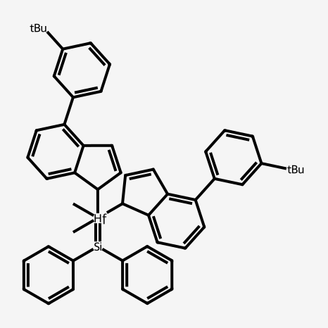 CC(C)(C)c1cccc(-c2cccc3c2C=C[CH]3[Hf]([CH3])([CH3])([CH]2C=Cc3c(-c4cccc(C(C)(C)C)c4)cccc32)=[Si](c2ccccc2)c2ccccc2)c1